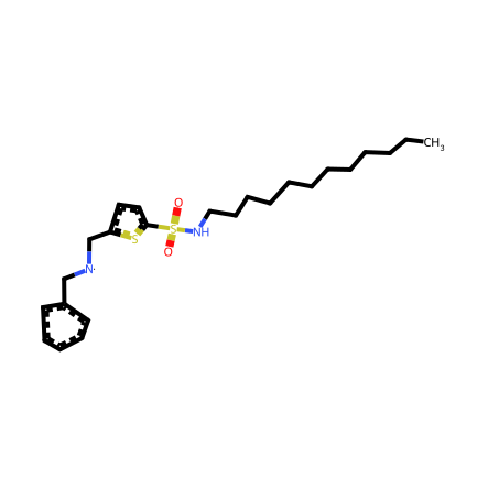 CCCCCCCCCCCCNS(=O)(=O)c1ccc(C[N]Cc2ccccc2)s1